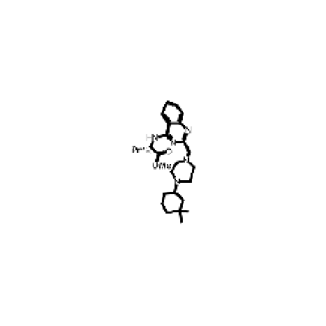 COC(=O)[C@@H](Nc1nc(CN2CCN(C3CCCC(C)(C)C3)CC2)nc2ccccc12)C(C)C